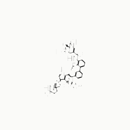 COc1nc(-c2cccc(-c3cccc(NC(=O)C4=CN(C)C(=O)N(C)C4)c3F)c2C)cc2c1[C@@H](N1CC3(CCC(=O)N3)C1)CO2